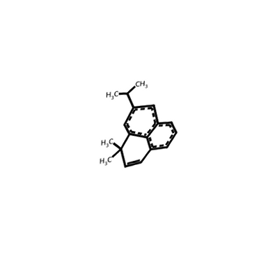 CC(C)c1cc2c3c(cccc3c1)C=CC2(C)C